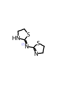 C1CSC(/N=C2/NCCS2)=N1